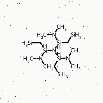 CN(C)[SiH](C[SiH3])N([SiH](C[SiH3])N(C)C)[SiH](C[SiH3])N(C)C